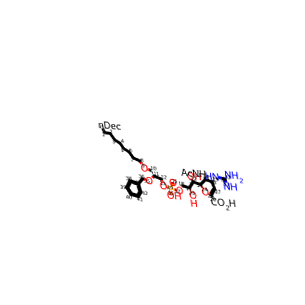 CCCCCCCCCCCCCCCCCCOC[C@H](COP(=O)(O)OC[C@@H](O)[C@@H](O)[C@@H]1OC(C(=O)O)=C[C@H](NC(=N)N)[C@H]1NC(C)=O)OCc1ccccc1